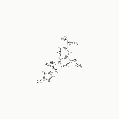 COc1ccc(NS(=O)(=O)c2ccc(Cl)s2)c2c1C[C@@H](N(C)C)CO2